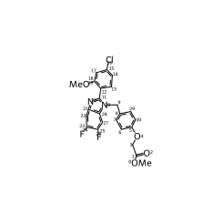 COC(=O)COc1ccc(Cn2c(-c3ccc(Cl)cc3OC)nc3cc(F)c(F)cc32)cc1